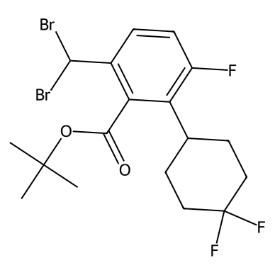 CC(C)(C)OC(=O)c1c(C(Br)Br)ccc(F)c1C1CCC(F)(F)CC1